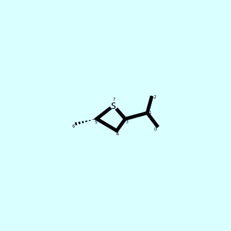 CC(C)C1C[C@H](C)S1